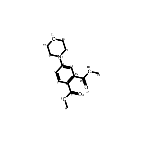 COC(=O)c1ccc(N2CCOCC2)cc1C(=O)OC